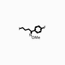 CO/N=C(/CCCI)c1ccc(F)cc1